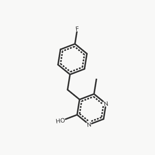 Cc1ncnc(O)c1Cc1ccc(F)cc1